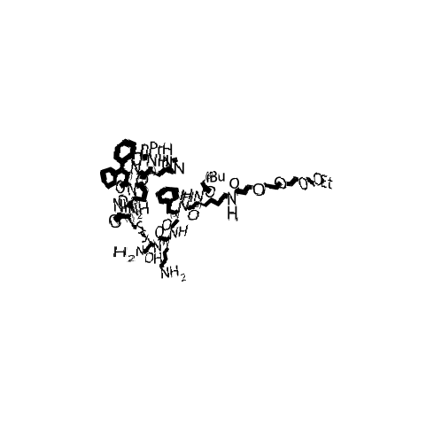 CCCC(=O)N[C@@H](Cc1cnc[nH]1)C(=O)N[C@H](C(=O)N1CCC[C@H]1C(=O)N[C@@H](CSSC[C@H](NC(=O)[C@@H](CCCCN)NC(=O)C[C@H](Cc1ccccc1)NC(=O)[C@H](CCCCNC(=O)CCOCCOCCOCCOCC)NC(=O)C[C@@H](C)CC)C(N)=O)C(N)=O)C(c1ccccc1)c1ccccc1